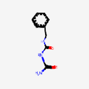 NC(=O)NC(=O)NCc1ccccc1